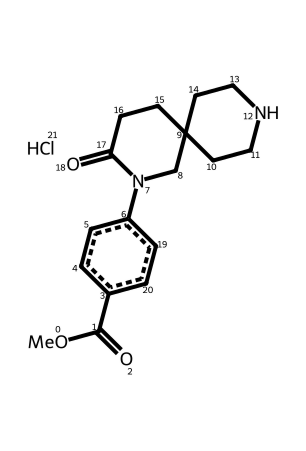 COC(=O)c1ccc(N2CC3(CCNCC3)CCC2=O)cc1.Cl